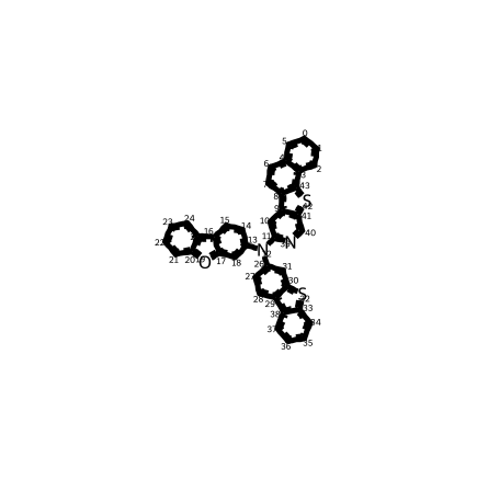 c1ccc2c(c1)ccc1c3cc(N(c4ccc5c(c4)oc4ccccc45)c4ccc5c(c4)sc4ccccc45)ncc3sc21